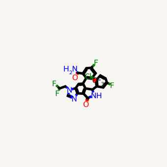 NC(=O)c1cc(F)cc(C(F)(F)F)c1-c1cc2c(ncn2CC(F)F)c2c1C(c1cc(F)ccc1Cl)NC2=O